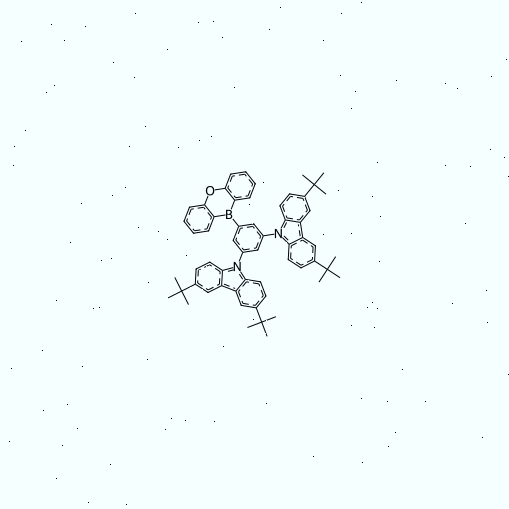 CC(C)(C)c1ccc2c(c1)c1cc(C(C)(C)C)ccc1n2-c1cc(B2c3ccccc3Oc3ccccc32)cc(-n2c3ccc(C(C)(C)C)cc3c3cc(C(C)(C)C)ccc32)c1